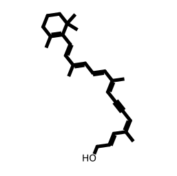 CC(C=CC=C(C)C=CC1=C(C)CCCC1(C)C)=CC#CC=C(C)C=CCO